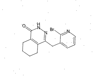 O=c1[nH]nc(Cc2cccnc2Br)c2c1CCCC2